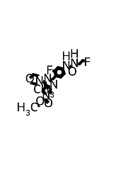 CCOC(=O)N1Cc2nc(-c3ccc(NC(=O)NCCF)cc3F)nc(N3CCOC[C@@H]3C)c2C1